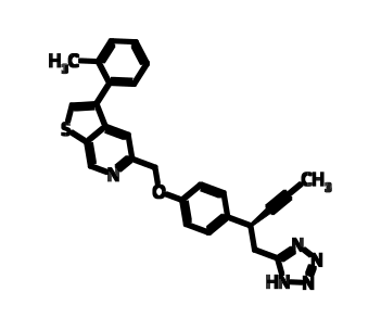 CC#C[C@@H](Cc1nnn[nH]1)c1ccc(OCc2cc3c(-c4ccccc4C)csc3cn2)cc1